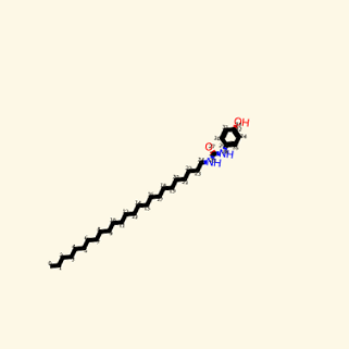 CCCCCCCCCCCCCCCCCCCCCCCCCNC(=O)Nc1ccc(O)cc1